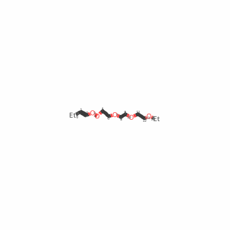 CCC=COOCCOCCOCCOCC